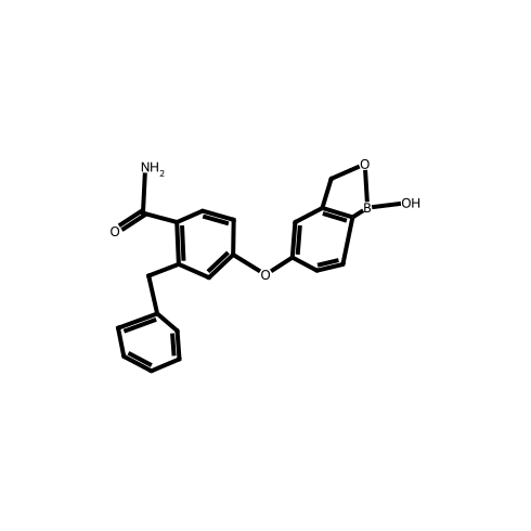 NC(=O)c1ccc(Oc2ccc3c(c2)COB3O)cc1Cc1ccccc1